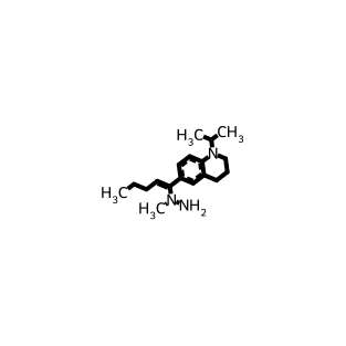 CCC/C=C(/c1ccc2c(c1)CCCN2C(C)C)N(C)N